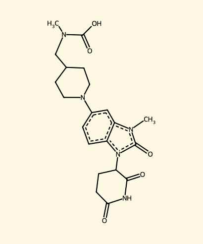 CN(CC1CCN(c2ccc3c(c2)n(C)c(=O)n3C2CCC(=O)NC2=O)CC1)C(=O)O